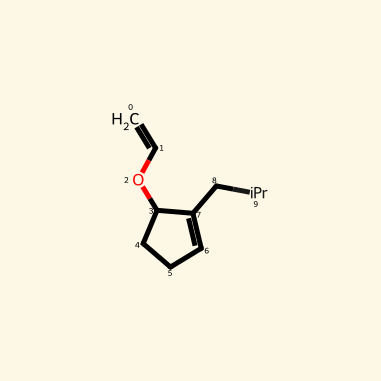 C=COC1CCC=C1CC(C)C